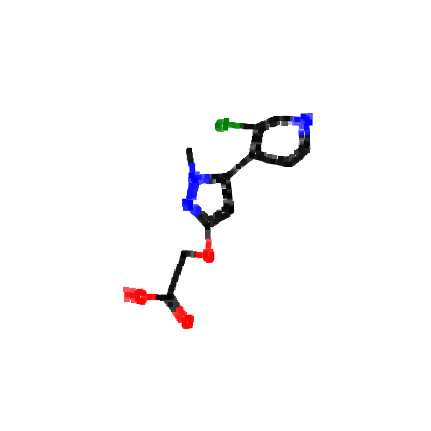 Cn1nc(OCC(=O)O)cc1-c1ccncc1Cl